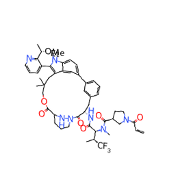 C=CC(=O)N1CC[C@H](C(=O)N(C)[C@H](C(=O)N[C@H]2Cc3cccc(c3)-c3ccc4c(c3)c(c(-c3cccnc3[C@H](C)OC)n4CC)CC(C)(C)COC(=O)C3CCCN(N3)C2=O)[C@H](C)C(F)(F)F)C1